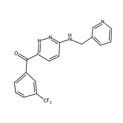 O=C(c1cccc(C(F)(F)F)c1)c1ccc(NCc2cccnc2)nn1